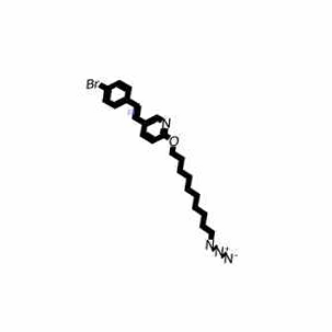 [N-]=[N+]=NCCCCCCCCCCOc1ccc(/C=C/c2ccc(Br)cc2)cn1